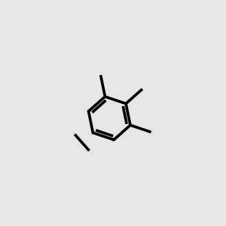 CC.Cc1cccc(C)c1C